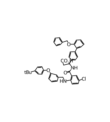 CC(C)(C)c1ccc(Oc2cccc(CNc3ccc(Cl)cc3C(=O)NC(CC(=O)O)c3ccc(-c4ccccc4OCc4ccccc4)cc3)c2)cc1